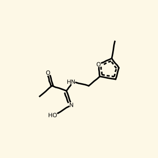 CC(=O)C(=NO)NCc1ccc(C)o1